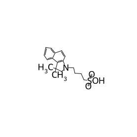 CC1(C)CN(CCCCS(=O)(=O)O)c2ccc3ccccc3c21